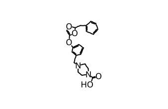 O=C(O)N1CCN(Cc2cccc(OC3=COC(Cc4ccccc4)O3)c2)CC1